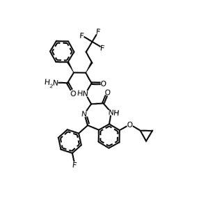 NC(=O)[C@@H](c1ccccc1)[C@@H](CCC(F)(F)F)C(=O)NC1N=C(c2cccc(F)c2)c2cccc(OC3CC3)c2NC1=O